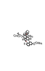 C#Cc1c(F)ccc2cc(OCOC)cc(-c3c(F)cc4c(N5CC6CCC(C5)N6C(=O)OC(C)(C)C)nc(OCC5(C=O)CC5)nc4c3F)c12